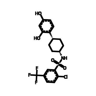 O=S(=O)(N[C@H]1CC[C@@H](c2ccc(O)cc2O)CC1)c1cc(C(F)(F)F)ccc1Cl